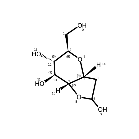 OC[C@H]1O[C@@H]2CC(O)O[C@@H]2[C@@H](O)[C@@H]1O